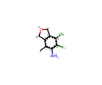 Cc1c(N)c(F)c(Br)c2c1COC2